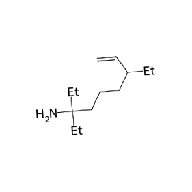 C=CC(CC)CCCC(N)(CC)CC